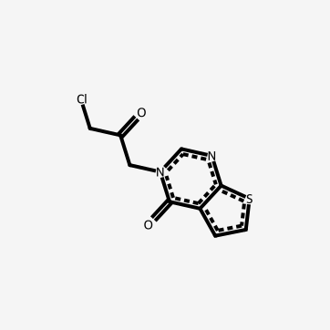 O=C(CCl)Cn1cnc2sccc2c1=O